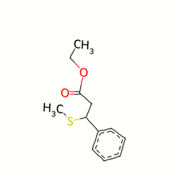 CCOC(=O)CC(SC)c1ccccc1